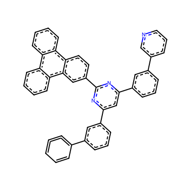 C1=C=C(c2cccc(-c3cc(-c4cccc(-c5cccnc5)c4)nc(-c4ccc5c6ccccc6c6ccccc6c5c4)n3)c2)C=CC=1